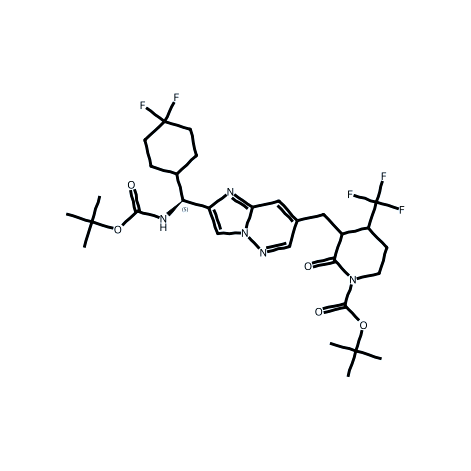 CC(C)(C)OC(=O)N[C@H](c1cn2ncc(CC3C(=O)N(C(=O)OC(C)(C)C)CCC3C(F)(F)F)cc2n1)C1CCC(F)(F)CC1